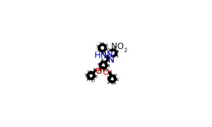 O=[N+]([O-])c1ccc2nc(-c3ccc(OCc4ccccc4)c(OCc4ccccc4)c3)c(NC3CCCCC3)n2c1